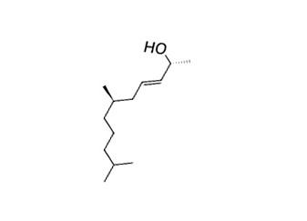 CC(C)CCC[C@@H](C)CC=C[C@@H](C)O